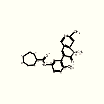 Cc1cc2c(cn1)cc(-c1cc(NC(=O)C3CCCCCC3)ccc1C)c(=O)n2C